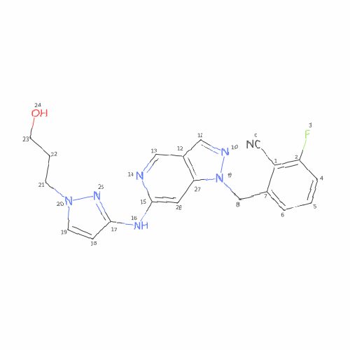 N#Cc1c(F)cccc1Cn1ncc2cnc(Nc3ccn(CCCO)n3)cc21